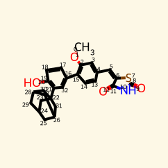 COc1cc(C=C2SC(=O)NC2=O)ccc1-c1ccc(O)c(C23CC4CC(CC(C4)C2)C3)c1